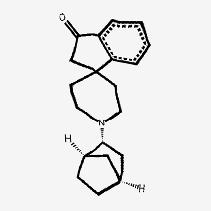 O=C1CC2(CCN([C@@H]3C[C@H]4CC[C@@H]3C4)CC2)c2ccccc21